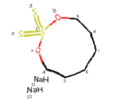 S=S1(=S)OCCCCCCO1.[NaH].[NaH]